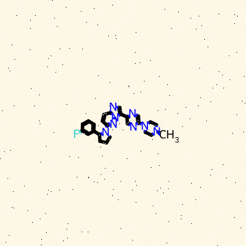 CN1CCN(c2cnc(-c3cnc4ccc(N5CCCC5c5cccc(F)c5)nn34)cn2)CC1